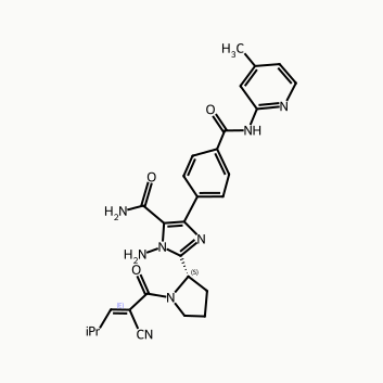 Cc1ccnc(NC(=O)c2ccc(-c3nc([C@@H]4CCCN4C(=O)/C(C#N)=C/C(C)C)n(N)c3C(N)=O)cc2)c1